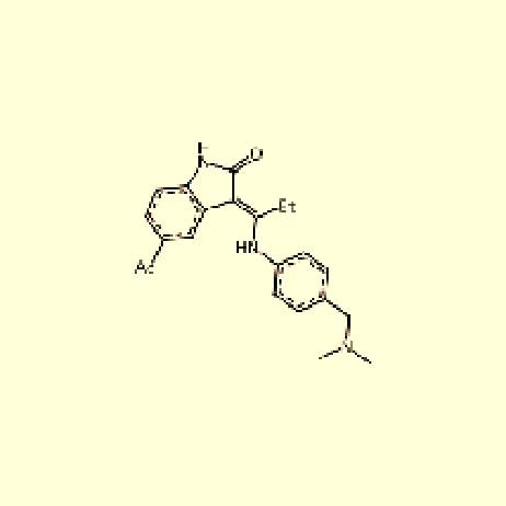 CCC(Nc1ccc(CN(C)C)cc1)=C1C(=O)Nc2ccc(C(C)=O)cc21